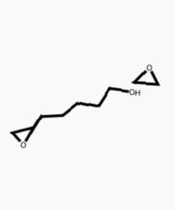 C1CO1.OCCCCCC1CO1